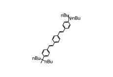 CCCCN(CCCC)c1ccc(/C=C/c2ccc(/C=C/c3ccc(C(C)(CCCC)CCCC)cc3)cc2)cc1